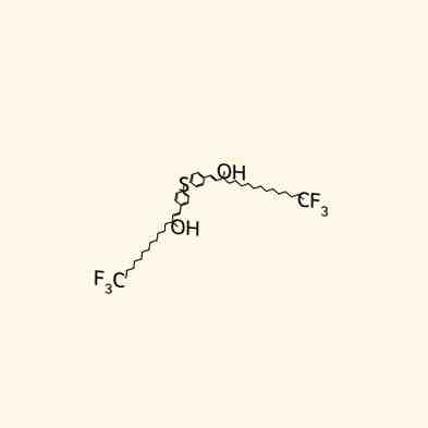 OC(C=Cc1ccc(Sc2ccc(C=CC(O)CCCCCCCCCCCCC(F)(F)F)cc2)cc1)CCCCCCCCCCCCC(F)(F)F